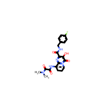 CN(C)C(=O)C(=O)NC12CCC(CC1)n1c2nc(C(=O)NCc2ccc(F)cc2)c(O)c1=O